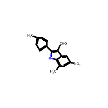 Cc1ccc(-c2[nH]c3c(C)cc([N+](=O)[O-])cc3c2C=O)cc1